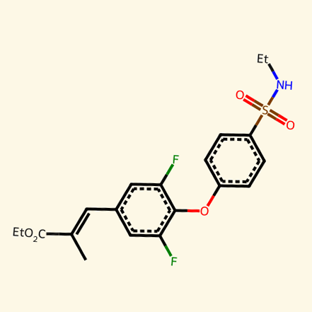 CCNS(=O)(=O)c1ccc(Oc2c(F)cc(/C=C(\C)C(=O)OCC)cc2F)cc1